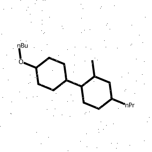 CCCCOC1CCC(C2CCC(CCC)CC2C)CC1